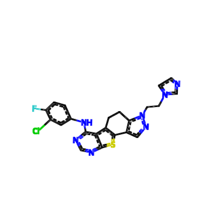 Fc1ccc(Nc2ncnc3sc4c(c23)CCc2c-4cnn2CCn2ccnc2)cc1Cl